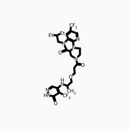 CCC(CC)CN1C(=O)C2CN(C(=O)CCOCC(C)Nc3cn[nH]c(=O)c3C(F)(F)F)CCN2c2ncc(C(F)(F)F)cc21